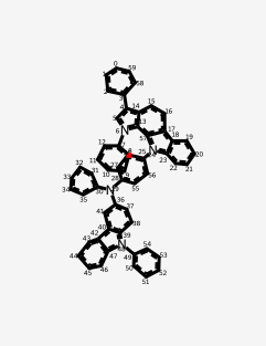 c1ccc(-c2cn(-c3ccccc3)c3c2ccc2c4ccccc4n(-c4ccc(N(c5ccccc5)c5ccc6c(c5)c5ccccc5n6-c5ccccc5)cc4)c23)cc1